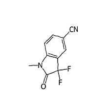 CN1C(=O)C(F)(F)c2cc(C#N)ccc21